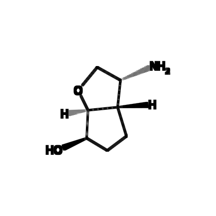 N[C@H]1CO[C@H]2[C@H]1CC[C@H]2O